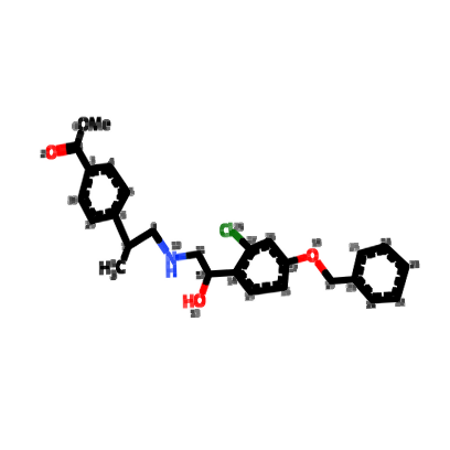 COC(=O)c1ccc(C(C)CNCC(O)c2ccc(OCc3ccccc3)cc2Cl)cc1